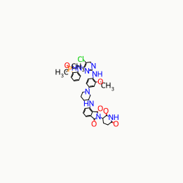 COc1cc(N2CCCC(Nc3cccc4c3C(=O)N(C3CCC(=O)NC3=O)C4=O)C2)ccc1Nc1ncc(Cl)c(Nc2ccccc2P(C)(C)=O)n1